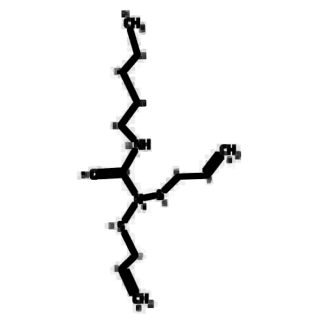 C=CCSN(SCC=C)C(=O)NCCCCC